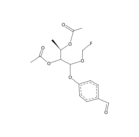 CC(=O)OC(C(OCF)Oc1ccc(C=O)cc1)[C@@H](C)OC(C)=O